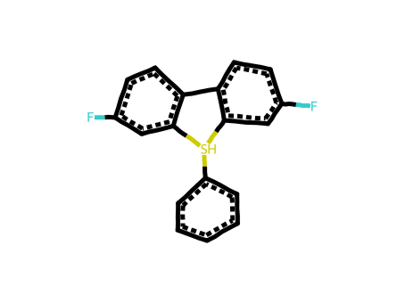 Fc1ccc2c(c1)[SH](c1ccccc1)c1cc(F)ccc1-2